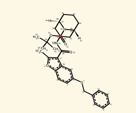 Cc1oc2ccc(OCc3ccccc3)cc2c1C(=O)NC1C[C@H]2CCC[C@H](C1)N2C(=O)OC(C)(C)C